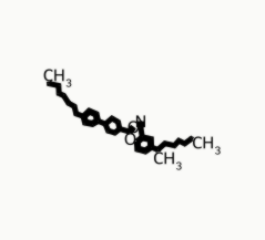 CCCCCCCCc1ccc(C2CCC(C(=O)Oc3ccc(C(C)CCCCCC)cc3C#N)CC2)cc1